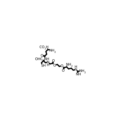 N=C(N)NCCC[C@H](N)C(=O)OCCOC(=O)CNC[C@@](C=O)(CS)NC(=O)CC[C@H](N)C(=O)O